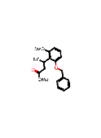 COC(=O)CC(C#N)c1c(OC)cccc1OCc1ccccc1